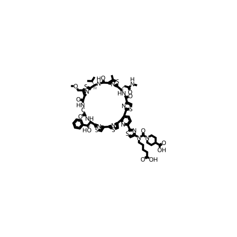 CNC(=O)C[C@@H]1NC(=O)c2csc(n2)-c2ccc(-c3nc(N(CCCCC(=O)O)C(=O)N4CCC(C(=O)O)CC4)cs3)nc2-c2csc(n2)-c2csc(n2)[C@H]([C@@H](O)c2ccccc2)NC(=O)CNC(=O)c2nc(sc2COC)[C@H](C(C)C)NC(=O)c2nc1sc2C